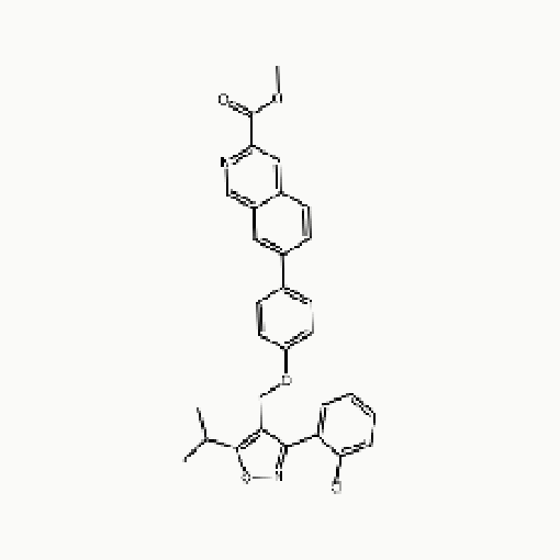 COC(=O)c1cc2ccc(-c3ccc(OCc4c(-c5ccccc5Cl)noc4C(C)C)cc3)cc2cn1